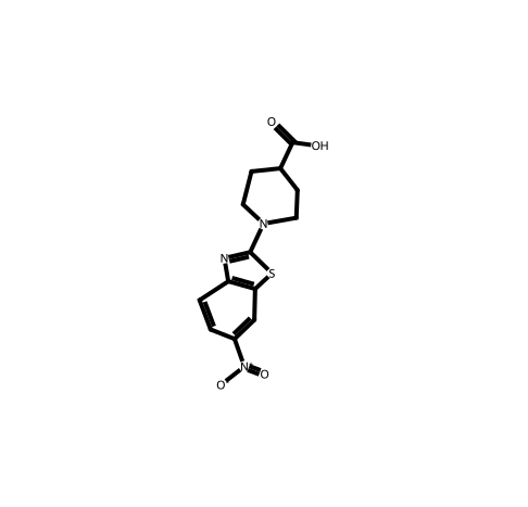 O=C(O)C1CCN(c2nc3ccc([N+](=O)[O-])cc3s2)CC1